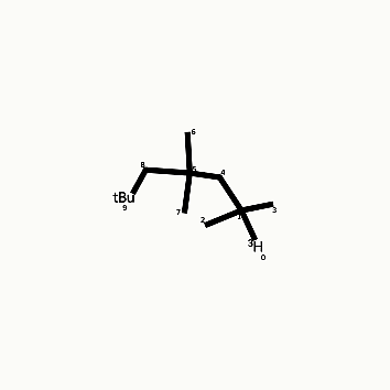 [3H]C(C)(C)CC(C)(C)CC(C)(C)C